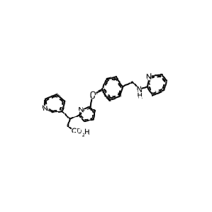 O=C(O)CC(c1cccnc1)c1cccc(Oc2ccc(CNc3ccccn3)cc2)n1